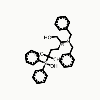 CC(C)(CC[C@@H](CO)N(Cc1ccccc1)Cc1ccccc1)[Si](O)(c1ccccc1)c1ccccc1